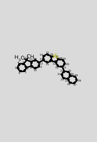 CC1(C)c2ccccc2-c2ccc(-c3ccc4sc5ccc(-c6ccc7ccccc7c6)cc5c4c3)cc21